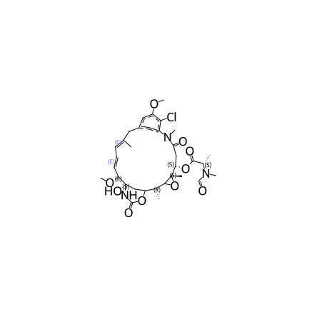 COc1cc2cc(c1Cl)N(C)C(=O)C[C@H](OC(=O)[C@H](C)N(C)C=O)[C@]1(C)OC1[C@H](C)C1C[C@@](O)(NC(=O)O1)[C@H](OC)/C=C/C=C(\C)C2